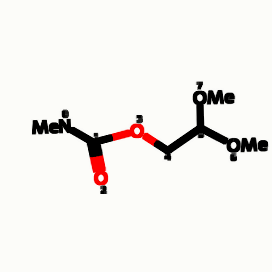 CNC(=O)OCC(OC)OC